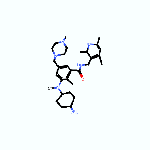 C=C1NC(C)=CC(C)=C1CNC(=O)c1cc(CN2CCN(C)CC2)cc(N(CC)C2CCC(N)CC2)c1C